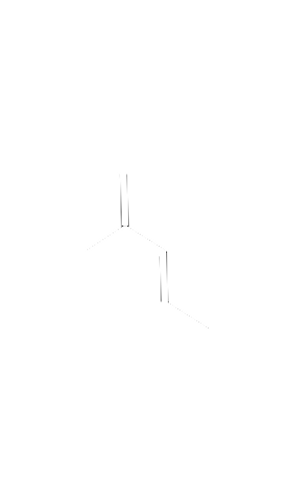 [CH]=C(C)C=CC